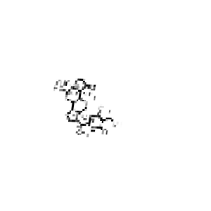 CC1=C(CO)C(=O)OC([C@@H](C)C2CCC3C4C[C@@H](O)[C@]5(C=O)CCC(=O)[C@]5(C)C4CC[C@@]32C)C1